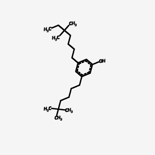 CCC(C)(C)CCCCc1cc(O)cc(CCCCC(C)(C)C)c1